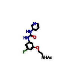 CC(=O)NCCOc1cc(F)cc(NC(=O)Nc2cccnc2)c1